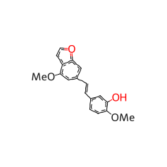 COc1ccc(C=Cc2cc(OC)c3ccoc3c2)cc1O